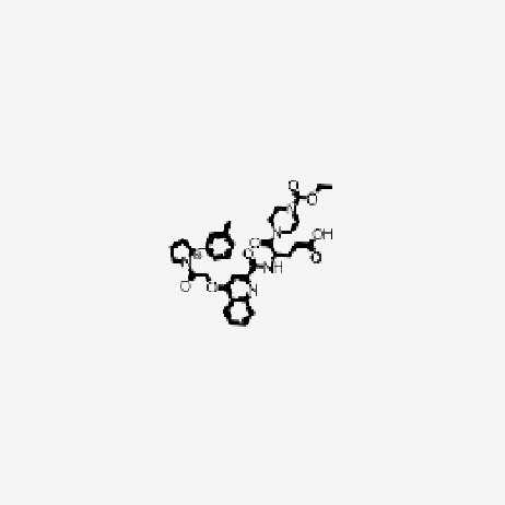 CCOC(=O)N1CCN(C(=O)C(CCC(=O)O)NC(=O)c2cc(OCC(=O)N3CCC[C@H]3c3cccc(C)c3)c3ccccc3n2)CC1